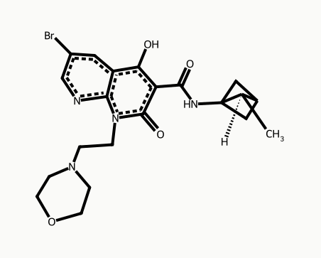 C[C@@H]1C2CC1(NC(=O)c1c(O)c3cc(Br)cnc3n(CCN3CCOCC3)c1=O)C2